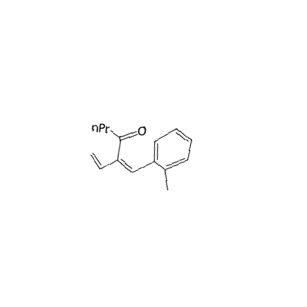 C=C/C(=C/c1ccccc1C)C(=O)CCC